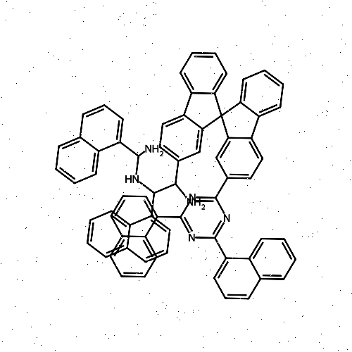 NC(NC(c1cccc2ccccc12)C(N)c1ccc2c(c1)C1(c3ccccc3-c3ccc(-c4nc(-c5cccc6ccccc56)nc(-c5cccc6ccccc56)n4)cc31)c1ccccc1-2)c1cccc2ccccc12